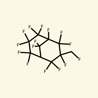 FCC1(F)C(F)(F)C2C(F)(F)C(F)(F)C(F)(F)C(F)(C2(F)F)C1(F)F